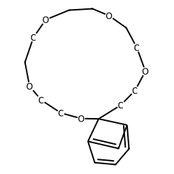 c1cc2cc(c1)C21CCOCCOCCOCCOCCO1